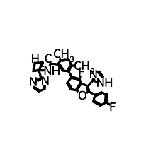 C=C(NC1(c2ncccn2)CCC1)c1cc(-c2ccc3oc(-c4ccc(F)cc4)c(-c4ncc[nH]4)c3c2F)c(C)cc1C